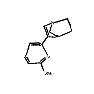 COc1cccc(C2=CN3CCC2C3)n1